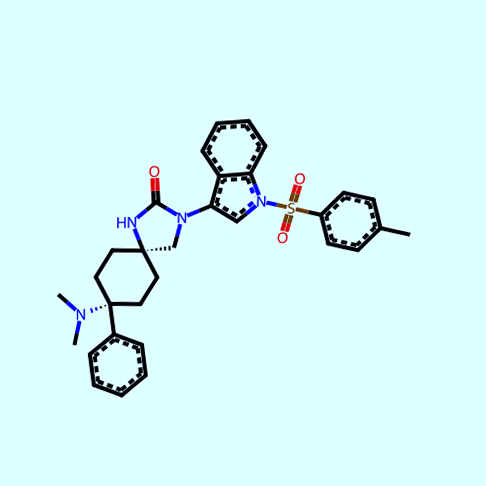 Cc1ccc(S(=O)(=O)n2cc(N3C[C@]4(CC[C@@](c5ccccc5)(N(C)C)CC4)NC3=O)c3ccccc32)cc1